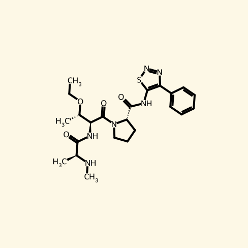 CCO[C@@H](C)[C@H](NC(=O)[C@H](C)NC)C(=O)N1CCC[C@H]1C(=O)Nc1snnc1-c1ccccc1